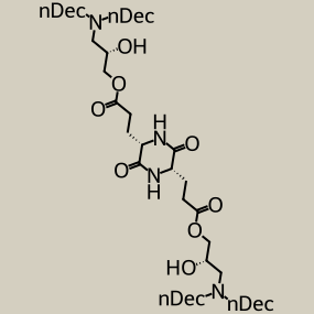 CCCCCCCCCCN(CCCCCCCCCC)C[C@H](O)COC(=O)CC[C@@H]1NC(=O)[C@H](CCC(=O)OC[C@@H](O)CN(CCCCCCCCCC)CCCCCCCCCC)NC1=O